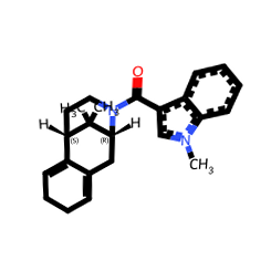 Cn1cc(C(=O)N2CC[C@H]3C4=CCCC=C4C[C@@H]2C3(C)C)c2ccccc21